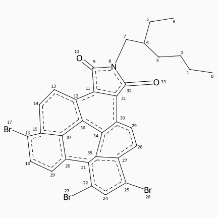 CCCCC(CC)Cn1c(=O)c2c3ccc4c(Br)ccc5c6c(Br)cc(Br)c7ccc(c2c1=O)c(c76)c3c45